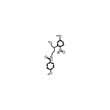 COCC(CCNC(=O)c1ccc(OC)cc1)c1cc(OC)ccc1[N+](=O)[O-]